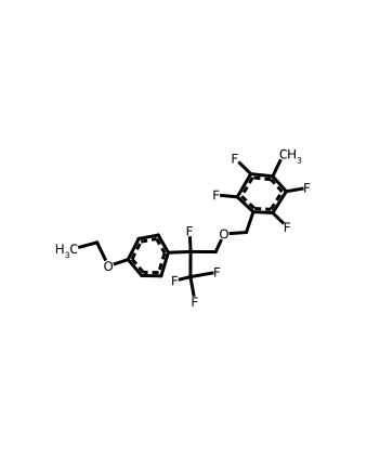 CCOc1ccc(C(F)(COCc2c(F)c(F)c(C)c(F)c2F)C(F)(F)F)cc1